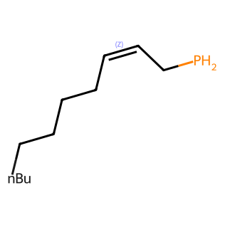 CCCCCCCC/C=C\CP